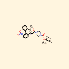 CC(C)c1ccccc1-c1c([N+](=O)[O-])[c]ccc1/C=C/C(=O)N1CCN(C(=O)OC(C)(C)C)CC1